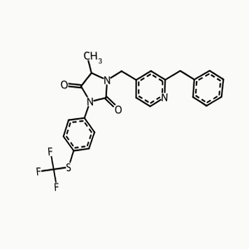 CC1C(=O)N(c2ccc(SC(F)(F)F)cc2)C(=O)N1Cc1ccnc(Cc2ccccc2)c1